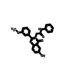 COc1cccc(-c2nc3ccc(O)cc3c(=O)n2CC(=O)Nc2ccccc2)c1